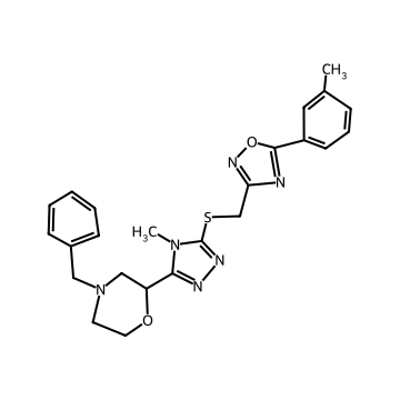 Cc1cccc(-c2nc(CSc3nnc(C4CN(Cc5ccccc5)CCO4)n3C)no2)c1